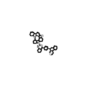 c1ccc2c(c1)cc(-c1ccc(-c3nc(-n4c5ccc6oc7ccc8c9ccccc9n9c%10cccc4c%10c5c6c7c89)nc4ccccc34)cc1)c1ccccc12